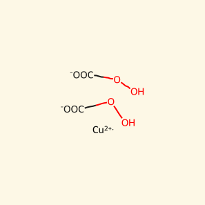 O=C([O-])OO.O=C([O-])OO.[Cu+2]